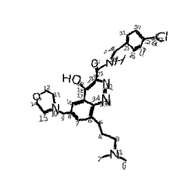 CN(C)CCCc1cc(CN2CCOCC2)cc2c(O)c(C(=O)NCc3ccc(Cl)cc3)nnc12